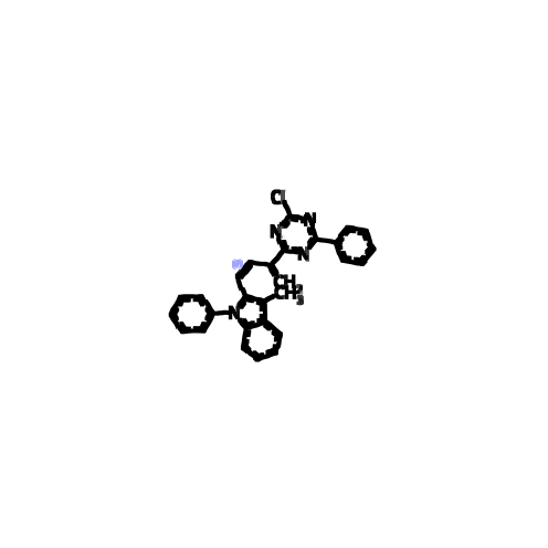 C=C(/C=C\c1c(C)c2ccccc2n1-c1ccccc1)c1nc(Cl)nc(-c2ccccc2)n1